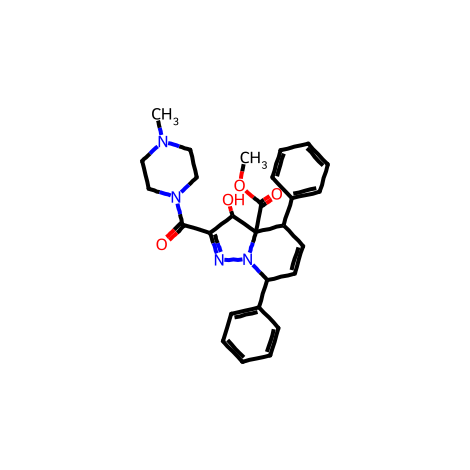 COC(=O)C12C(O)C(C(=O)N3CCN(C)CC3)=NN1C(c1ccccc1)C=CC2c1ccccc1